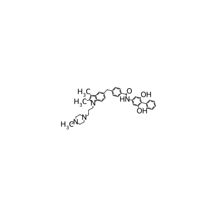 Cc1c(C)n(CCCN2CCN(C)CC2)c2ccc(Cc3ccc(C(=O)Nc4cc(O)c(-c5ccccc5)c(O)c4)cc3)cc12